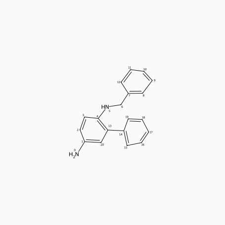 Nc1ccc(NCc2ccccc2)c(-c2ccccc2)c1